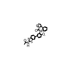 COc1ccc(-c2ccc3nc(NC(C)=O)sc3c2)cc1NC(=O)N1OCC[C@H]1c1ccccc1